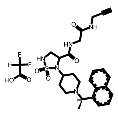 C#CCNC(=O)CNC(=O)C1CNS(=O)(=O)N1C1CCN([C@H](C)c2cccc3ccccc23)CC1.O=C(O)C(F)(F)F